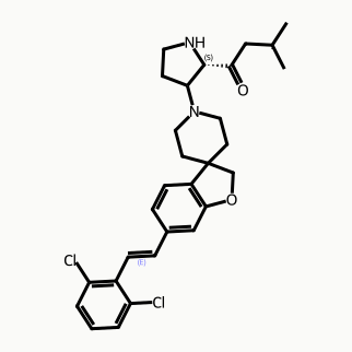 C[C](C)CC(=O)[C@H]1NCCC1N1CCC2(CC1)COc1cc(/C=C/c3c(Cl)cccc3Cl)ccc12